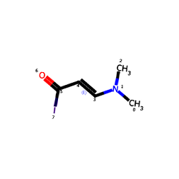 CN(C)/C=C/C(=O)I